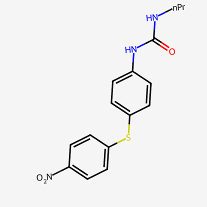 CCCNC(=O)Nc1ccc(Sc2ccc([N+](=O)[O-])cc2)cc1